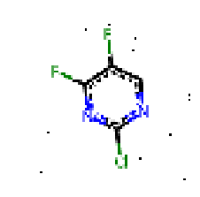 Fc1cnc(Cl)nc1F